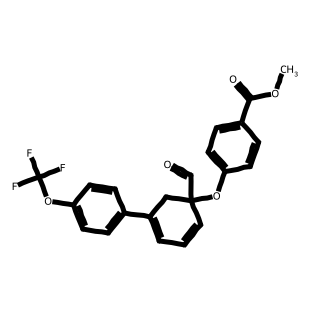 COC(=O)c1ccc(OC2(C=O)C=CC=C(c3ccc(OC(F)(F)F)cc3)C2)cc1